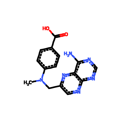 CN(Cc1cnc2ncnc(N)c2n1)c1ccc(C(=O)O)cc1